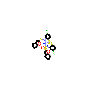 [O-][S+](Nc1cc(Cl)ccc1SSc1ccc(Cl)cc1NSc1cc2ccccc2o1)c1cc2ccccc2o1